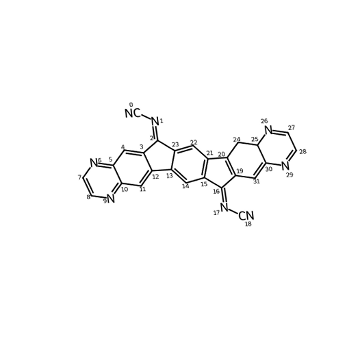 N#C/N=c1\c2cc3nccnc3cc2c2cc3/c(=N/C#N)c4c(c3cc12)CC1N=CC=NC1=C4